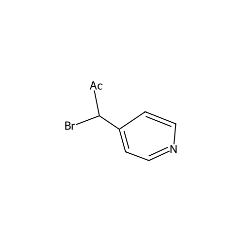 CC(=O)C(Br)c1ccncc1